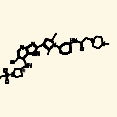 CCS(=O)(=O)N1CC[C@H](Nc2c(Br)cnc3nc(-c4cc(C)n(-c5cccc(NC(=O)CN6CCN(C)CC6)c5)c4C)[nH]c23)C1